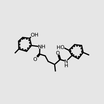 Cc1ccc(O)c(NC(=O)CCC(C)C(=O)Nc2cc(C)ccc2O)c1